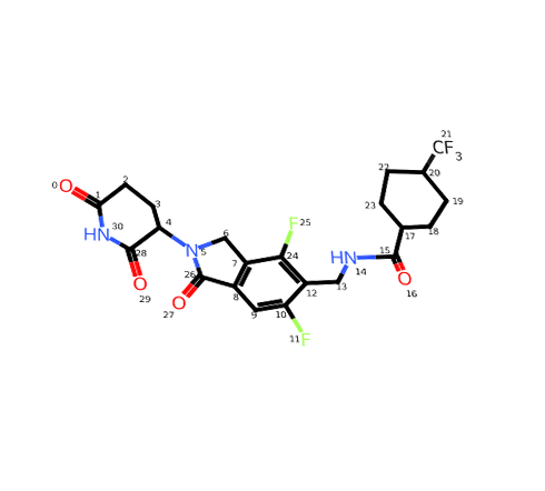 O=C1CCC(N2Cc3c(cc(F)c(CNC(=O)C4CCC(C(F)(F)F)CC4)c3F)C2=O)C(=O)N1